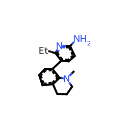 CCc1nc(N)ccc1-c1cccc2c1N(C)CCC2